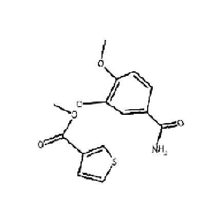 COC(=O)c1ccsc1.COc1ccc(C(N)=O)cc1Cl